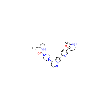 CO[C@]1(c2ccc(-c3cc4c(N5CCN(C(=O)NC(C)C)CC5)ccnn4c3)nc2)CCCNC1